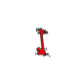 CC(C)[C@H](NC(=O)[C@H](CCCCNC(=O)CCOCCOCCOCCOCCOCCOCCOCCOCCOCCOCCOCCOCCN(C[C@H](O)[C@@H](O)[C@H](O)[C@H](O)CO)C[C@H](O)[C@@H](O)[C@H](O)[C@H](O)CO)NC(=O)C(CNC(=O)CCCCCN1C(=O)C=CC1=O)NC(=O)CCCCCN1C(=O)C=CC1=O)C(=O)N[C@@H](CCCNC(N)=O)C(=O)Nc1ccc(CO)cc1